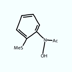 CSc1ccccc1N(O)C(C)=O